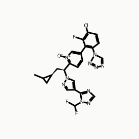 CC1C[C@@H]1C[C@@H](c1ccc(-c2c(-n3cnnn3)ccc(Cl)c2F)c[n+]1[O-])n1cc(-c2ncnn2C(F)F)cn1